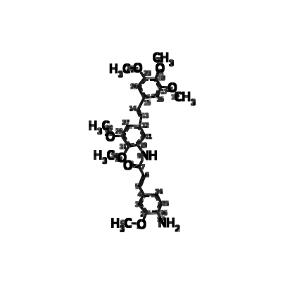 COc1cc(/C=C/C(=O)Nc2cc(/C=C/c3cc(OC)c(OC)c(OC)c3)cc(OC)c2OC)ccc1N